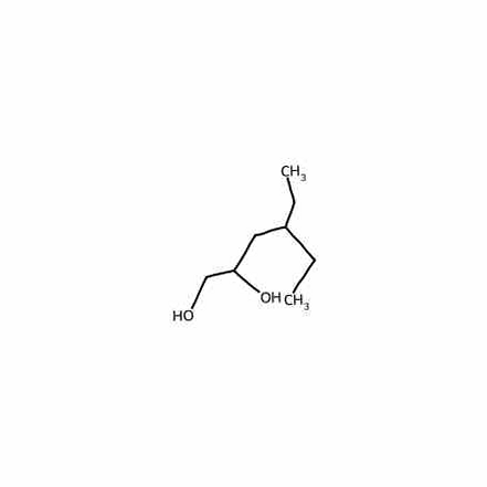 CCC(CC)CC(O)CO